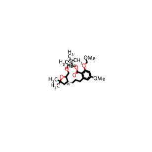 CCCCOCC1OC(C)(C)C[C@H]1CCCc1cc(OC)cc(OCOC)c1C(=O)OB[Si](C)(C)C